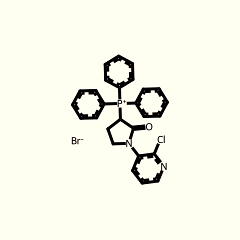 O=C1C([P+](c2ccccc2)(c2ccccc2)c2ccccc2)CCN1c1cccnc1Cl.[Br-]